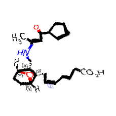 CC(=CC(=O)C1CCCC1)NC[C@@H]1[C@H](C/C=C\CCCC(=O)O)[C@@H]2CC[C@H]1O2